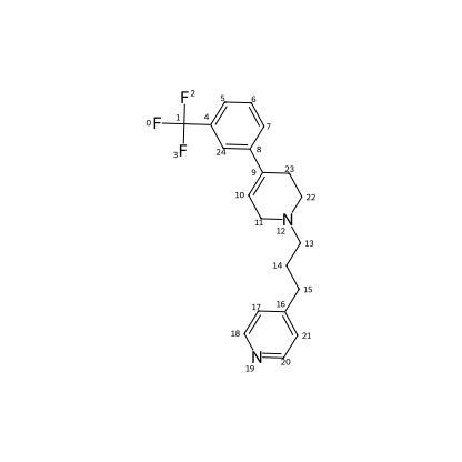 FC(F)(F)c1cccc(C2=CCN(CCCc3ccncc3)CC2)c1